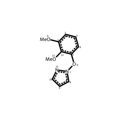 COc1cccc(On2c[c]cn2)c1OC